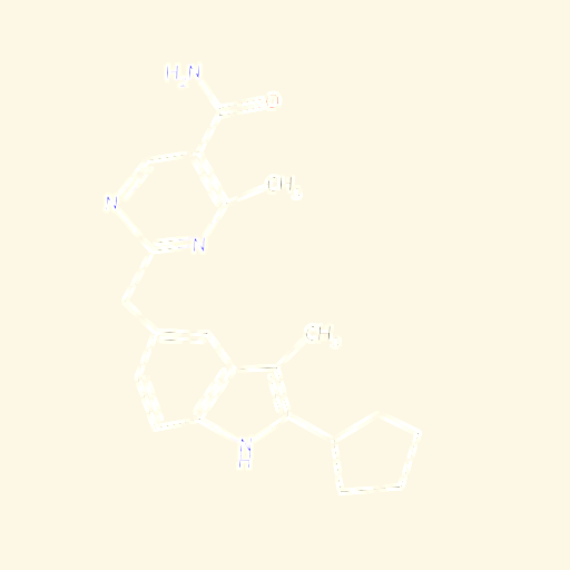 Cc1nc(Cc2ccc3[nH]c(C4CCCC4)c(C)c3c2)ncc1C(N)=O